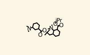 CC(C)OC(=O)C1CCCC(CC(C)(C)OC(=O)C2CCCC(N(C)C)C2)C1N(C)C